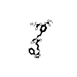 CCN(CCc1ccc(OC(C)=O)c(OC(C)=O)c1)C(=O)CCCSc1nnnn1C1CCCCC1